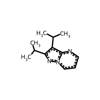 CC(C)c1nn2cccnc2c1C(C)C